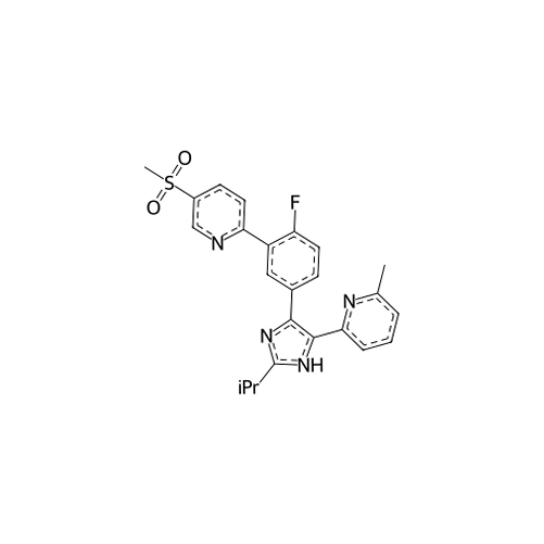 Cc1cccc(-c2[nH]c(C(C)C)nc2-c2ccc(F)c(-c3ccc(S(C)(=O)=O)cn3)c2)n1